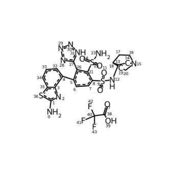 Nc1nc2c(-c3ccc(S(=O)(=O)NC4CN5CCC4CC5)c(S(N)(=O)=O)c3-c3nnn[nH]3)cccc2s1.O=C(O)C(F)(F)F